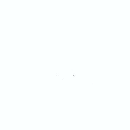 COc1ccccc1-c1ccc(C(=O)N2C(C(=O)O)CCC2c2ccccc2Br)cc1